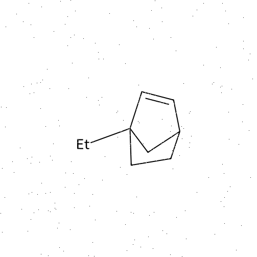 [CH2]CC12C=CC(CC1)C2